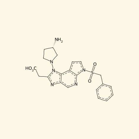 N[C@H]1CCN(n2c(CC(=O)O)nc3cnc4c(ccn4S(=O)(=O)Cc4ccccc4)c32)C1